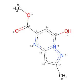 COC(=O)c1cc(O)n2nc(C)cc2n1